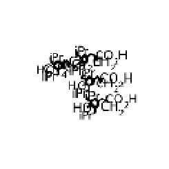 C.C=C(Cc1cc(CC(C)C)c(O)c(CC(C)C)c1)C(=O)O.C=C(Cc1cc(CC(C)C)c(O)c(CC(C)C)c1)C(=O)O.C=C(Cc1cc(CC(C)C)c(O)c(CC(C)C)c1)C(=O)O.C=C(Cc1cc(CC(C)C)c(O)c(CC(C)C)c1)C(=O)O